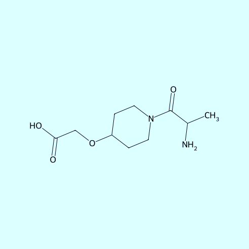 CC(N)C(=O)N1CCC(OCC(=O)O)CC1